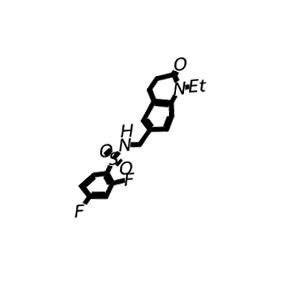 CCN1C(=O)CCc2cc(CNS(=O)(=O)c3ccc(F)cc3F)ccc21